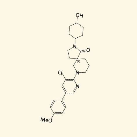 COc1ccc(-c2cnc(N3CCC[C@@]4(CCN([C@H]5CC[C@@H](O)CC5)C4=O)C3)c(Cl)c2)cc1